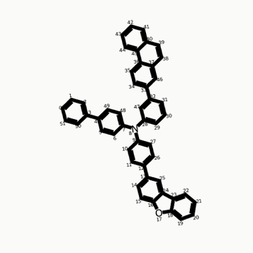 c1ccc(-c2ccc(N(c3ccc(-c4ccc5oc6ccccc6c5c4)cc3)c3cccc(-c4ccc5c(ccc6ccccc65)c4)c3)cc2)cc1